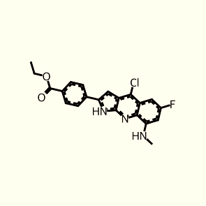 CCOC(=O)c1ccc(-c2cc3c(Cl)c4cc(F)cc(NC)c4nc3[nH]2)cc1